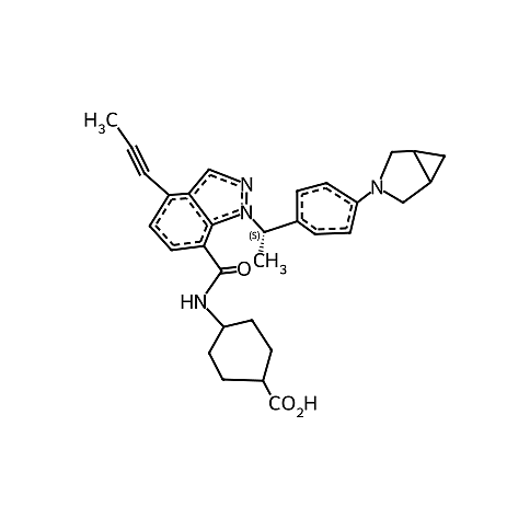 CC#Cc1ccc(C(=O)NC2CCC(C(=O)O)CC2)c2c1cnn2[C@@H](C)c1ccc(N2CC3CC3C2)cc1